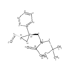 CC(C)(C)CN(C[C@@]1(c2ccccc2)C[C@@H]1C=O)C(=O)O